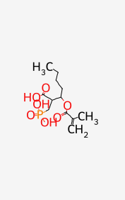 C=C(C)C(=O)OC(CCCC)C(CP(=O)(O)O)C(=O)O